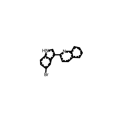 Brc1ccc2[nH]cc(-c3ccc4ccccc4n3)c2c1